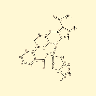 CCCc1nc(CC)c(C(N)=O)n1Cc1ccc(-c2ccccc2C(C)CS(=O)(=O)Nc2onc(C)c2C)cc1